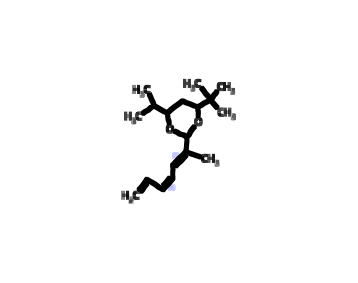 C=C/C=C\C=C(/C)C1OC(C(C)C)CC(C(C)(C)C)O1